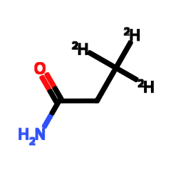 [2H]C([2H])([2H])CC(N)=O